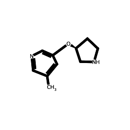 Cc1cncc(O[C@H]2CCNC2)c1